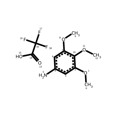 COc1cc(N)cc(OC)c1OC.O=C(O)C(F)(F)F